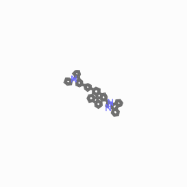 c1ccc(-n2c3ccccc3c3cc(-c4ccc(-c5ccc6c(c5)C5(c7ccccc7-c7ccccc75)c5cc(-c7cnc8c9ccccc9c9ccccc9c8n7)ccc5-6)cc4)ccc32)cc1